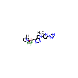 Cc1nc(-n2cncn2)ccc1-n1ccc2c(CCC3CC4CC[C@@H](C3)N4C(=O)C(F)(F)F)ncnc21